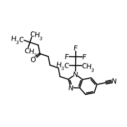 CC(C)(C)CC(=O)CCCCc1nc2ccc(C#N)cc2n1C(C)(C)C(F)(F)F